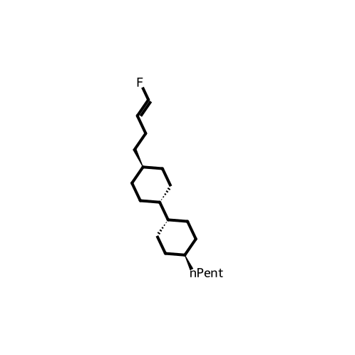 CCCCC[C@H]1CC[C@H]([C@H]2CC[C@H](CC/C=C/F)CC2)CC1